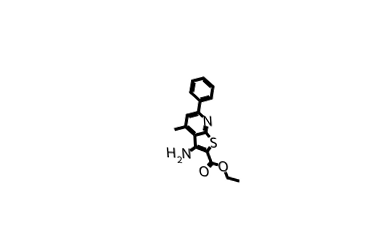 CCOC(=O)c1sc2nc(-c3ccccc3)cc(C)c2c1N